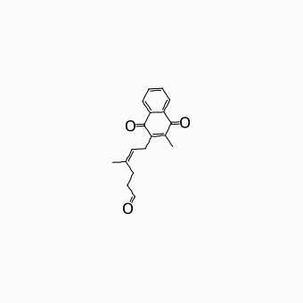 CC(=CCC1=C(C)C(=O)c2ccccc2C1=O)CCC=O